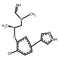 C[C@@H](CN(C)C=N)Oc1cc(-c2cn[nH]c2)ccc1Cl